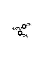 CCN(c1ccc(O)cc1)c1cccc(C)c1